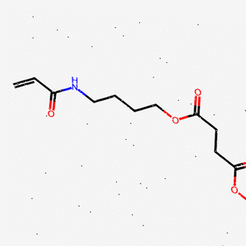 C=CC(=O)NCCCCOC(=O)CCC(=O)OC(C)C